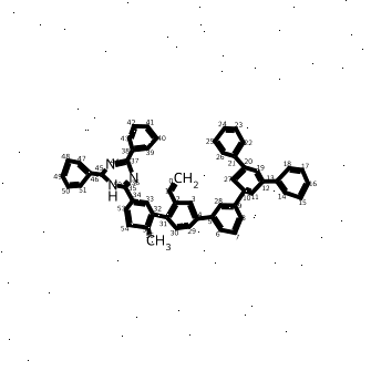 C=Cc1cc(-c2cccc(-c3cc(-c4ccccc4)cc(-c4ccccc4)c3)c2)ccc1-c1cc(C2=NC(c3ccccc3)=NC(c3ccccc3)N2)ccc1C